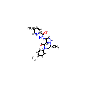 C[C@H]1CN(c2ccc(C(F)(F)F)cc2)C(=O)c2c(NC(=O)c3ccc(C#N)cn3)cnn21